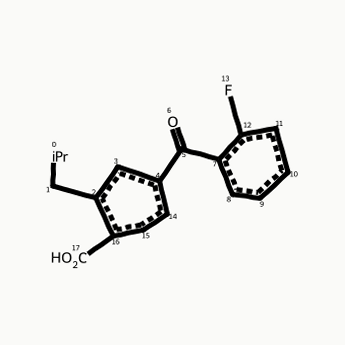 CC(C)Cc1cc(C(=O)c2ccccc2F)ccc1C(=O)O